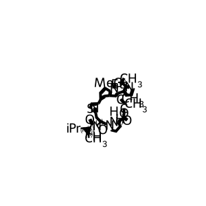 CCn1c(-c2cccnc2[C@H](C)OC)c2c3cc(ccc31)-c1csc(n1)C[C@H](NC(=O)[C@H]1[C@@H](C)[C@H]1C(C)C)C(=O)N1CCC[C@H](N1)C(=O)OCC(C)(C)C2